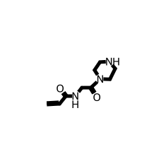 C=CC(=O)NCC(=O)N1CCNCC1